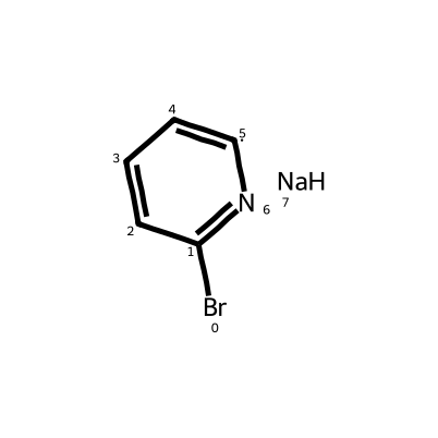 Brc1ccc[c]n1.[NaH]